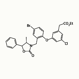 CCOC(=O)Cc1cc(Cl)cc(Oc2ccc(Br)cc2CN2C(=O)OC(c3ccccc3)C2C)c1